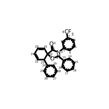 O=C(Nc1cccc(C(F)(F)F)c1)C1(OCc2ccccc2)C=CC=CC1c1ccccc1